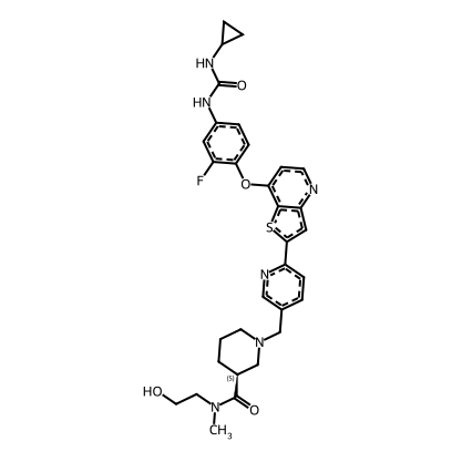 CN(CCO)C(=O)[C@H]1CCCN(Cc2ccc(-c3cc4nccc(Oc5ccc(NC(=O)NC6CC6)cc5F)c4s3)nc2)C1